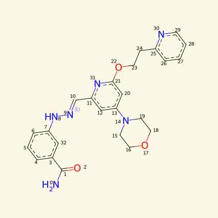 NC(=O)c1cccc(N/N=C/c2cc(N3CCOCC3)cc(OCCc3ccccn3)n2)c1